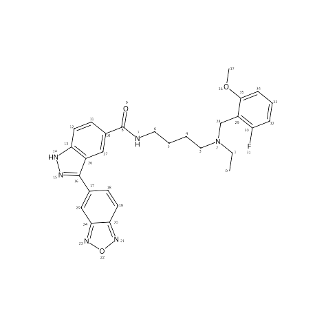 CCN(CCCCNC(=O)c1ccc2[nH]nc(-c3ccc4nonc4c3)c2c1)Cc1c(F)cccc1OC